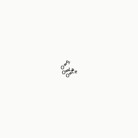 [O]=[Ce].[O]=[La].[O]=[Pr]